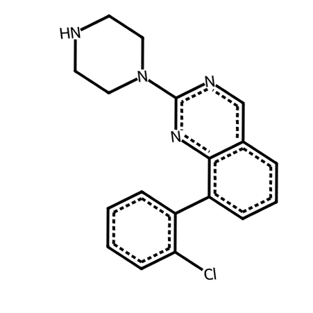 Clc1ccccc1-c1cccc2cnc(N3CCNCC3)nc12